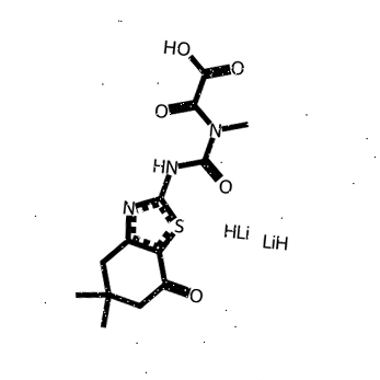 CN(C(=O)Nc1nc2c(s1)C(=O)CC(C)(C)C2)C(=O)C(=O)O.[LiH].[LiH]